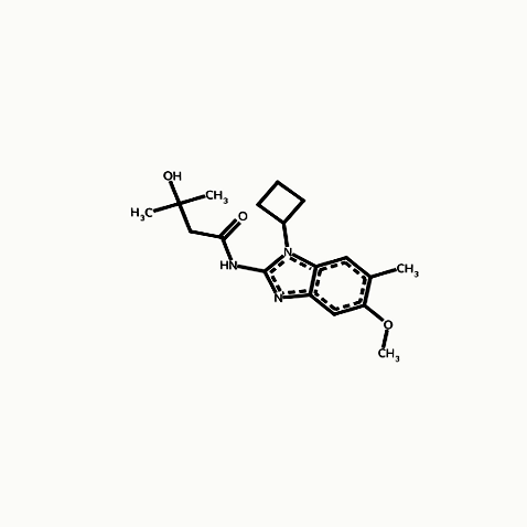 COc1cc2nc(NC(=O)CC(C)(C)O)n(C3CCC3)c2cc1C